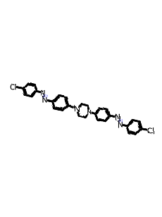 Clc1ccc(/N=N/c2ccc(N3CCN(c4ccc(/N=N/c5ccc(Cl)cc5)cc4)CC3)cc2)cc1